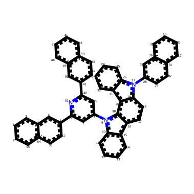 c1ccc2cc(-c3cc(-n4c5ccccc5c5ccc6c(c7ccccc7n6-c6ccc7ccccc7c6)c54)cc(-c4ccc5ccccc5c4)n3)ccc2c1